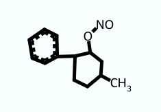 CC1CCC(c2ccccc2)C(ON=O)C1